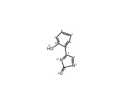 O=C1N=CC(c2ccccc2O)=N1